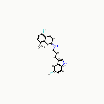 COc1ccc(F)c2c1CC(NCCCc1c[nH]c3ccc(F)cc13)CC2